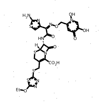 CCOc1nnc(SCC2=C(C(=O)O)N3C(=O)[C@@H](NC(=O)/C(=N\OCc4cc(=O)c(O)cn4O)c4csc(N)n4)[C@H]3SC2)s1